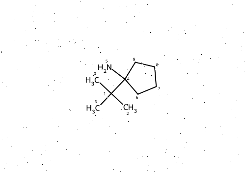 CC(C)(C)C1(N)CCCC1